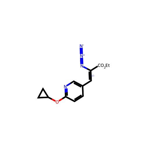 CCOC(=O)/C(=C/c1ccc(OC2CC2)nc1)N=[N+]=[N-]